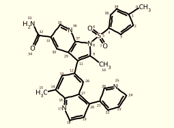 Cc1ccc(S(=O)(=O)n2c(C)c(-c3cc(C)c4nccc(-c5cccnc5)c4c3)c3cc(C(N)=O)cnc32)cc1